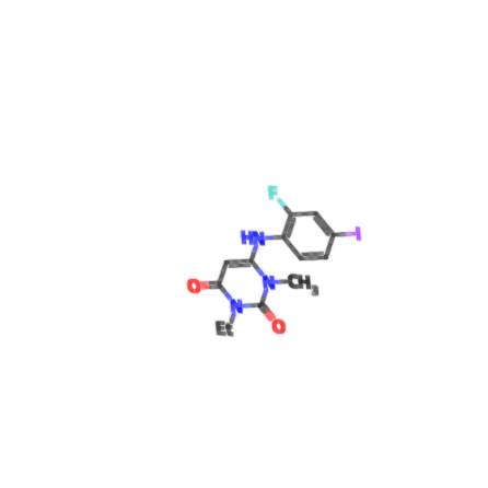 CCn1c(=O)cc(Nc2ccc(I)cc2F)n(C)c1=O